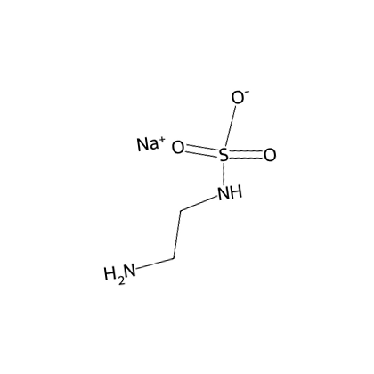 NCCNS(=O)(=O)[O-].[Na+]